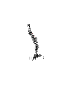 N#CCCCOc1ccc(-c2ccc(C(=O)Oc3ccc(C=CC(=O)OCCCCCc4ccc(N)cc4N)cc3)cc2)cc1